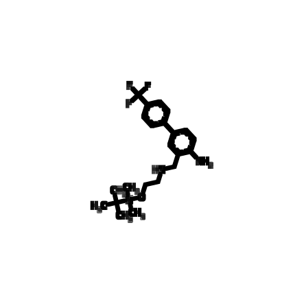 CC(C)(C)[Si](C)(C)OCCNCc1cc(-c2ccc(C(F)(F)F)cc2)ccc1N